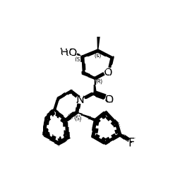 C[C@H]1CO[C@@H](C(=O)N2CCc3ccccc3[C@@H]2c2ccc(F)cc2)C[C@@H]1O